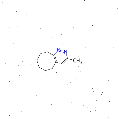 Cc1cc2c(nn1)CCCCCC2